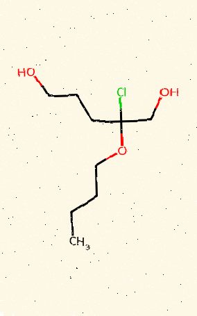 CCCCOC(Cl)(CO)CCCO